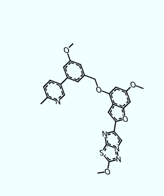 COc1cc(COc2cc(OC)cc3oc(-c4cn5nc(OC)sc5n4)cc23)cc(-c2ccc(C)nc2)c1